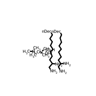 CCCCCCCCCCCCCCCCCCC(N)CN.CCCCCCCCCCCCCCCCCCC(N)CN.CN(C)C.CN(C)C.O=S(=O)(O)O